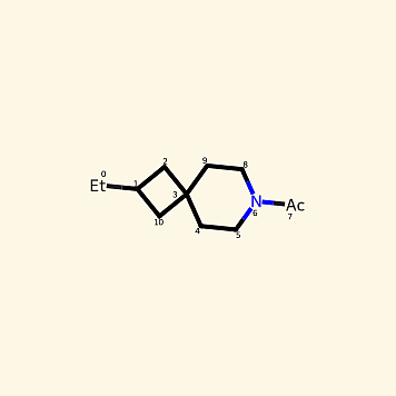 CCC1CC2(CCN(C(C)=O)CC2)C1